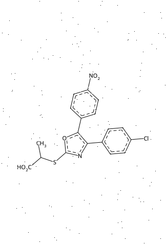 CC(Sc1nc(-c2ccc(Cl)cc2)c(-c2ccc([N+](=O)[O-])cc2)o1)C(=O)O